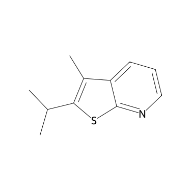 Cc1c(C(C)C)sc2ncccc12